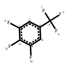 Fc1[c]c(C(F)(F)F)cc(F)c1F